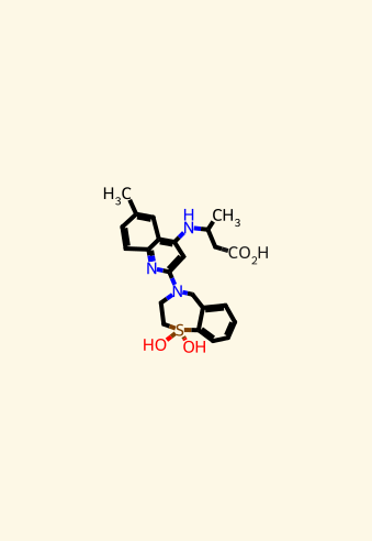 Cc1ccc2nc(N3CCS(O)(O)c4ccccc4C3)cc(NC(C)CC(=O)O)c2c1